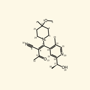 COC1(C)CCN(/C(=C(\C#N)C(C)=O)c2cc([C@H](C)O)ncc2C)CC1